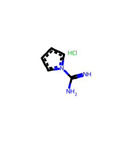 Cl.N=C(N)n1cccc1